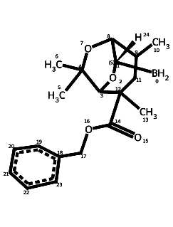 B[C@@H]1OC2C(C)(C)OC1C(C)CC2(C)C(=O)OCc1ccccc1